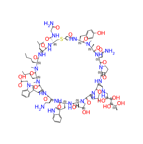 CCCC[C@H]1C(=O)N(C)[C@@H](CCCC)C(=O)N[C@@H](CC(C)C)C(=O)N[C@H](C(=O)NCC(N)=O)CSCC(=O)N[C@@H](Cc2ccc(O)cc2)C(=O)N(C)[C@@H](C)C(=O)N[C@@H](CC(N)=O)C(=O)N2CCC[C@H]2C(=O)N[C@@H](CNC[C@H](O)[C@H](O)[C@@H](O)[C@H](C)O)C(=O)N[C@@H](CC(C)C)C(=O)N2C[C@H](O)C[C@H]2C(=O)N[C@@H](Cc2c[nH]c3ccccc23)C(=O)N[C@@H](CCN)C(=O)N[C@@H](Cc2cn(CC(=O)O)c3ccccc23)C(=O)N1C